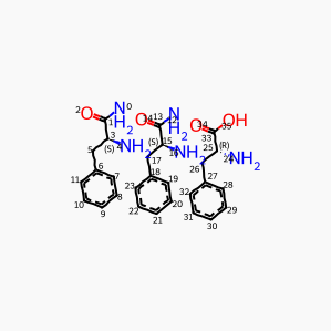 NC(=O)[C@@H](N)Cc1ccccc1.NC(=O)[C@@H](N)Cc1ccccc1.N[C@H](Cc1ccccc1)C(=O)O